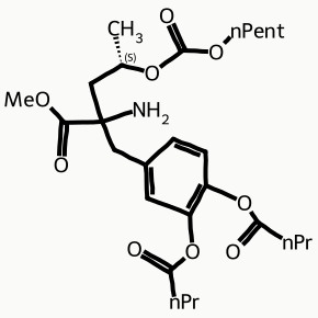 CCCCCOC(=O)O[C@@H](C)CC(N)(Cc1ccc(OC(=O)CCC)c(OC(=O)CCC)c1)C(=O)OC